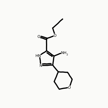 CCOC(=O)c1[nH]nc(C2CCOCC2)c1N